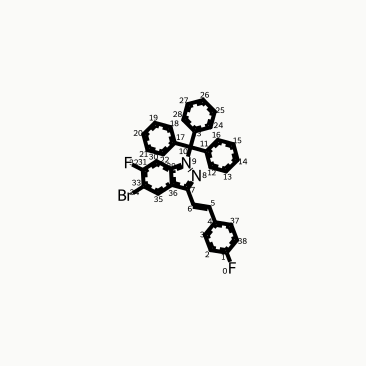 Fc1ccc(C=Cc2nn(C(c3ccccc3)(c3ccccc3)c3ccccc3)c3cc(F)c(Br)cc23)cc1